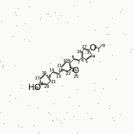 CCOc1ccc(/C=C/c2ccc(/C=C/c3ccc(O)cc3)cc2OC)cc1